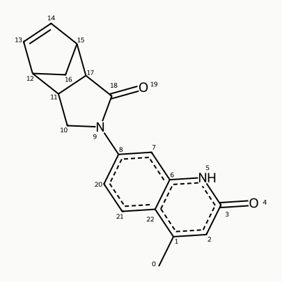 Cc1cc(=O)[nH]c2cc(N3CC4C5C=CC(C5)C4C3=O)ccc12